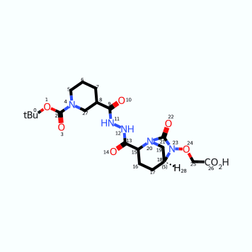 CC(C)(C)OC(=O)N1CCCC(C(=O)NNC(=O)C2CC[C@H]3CN2C(=O)N3OCC(=O)O)C1